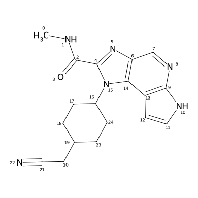 CNC(=O)c1nc2cnc3[nH]ccc3c2n1C1CCC(CC#N)CC1